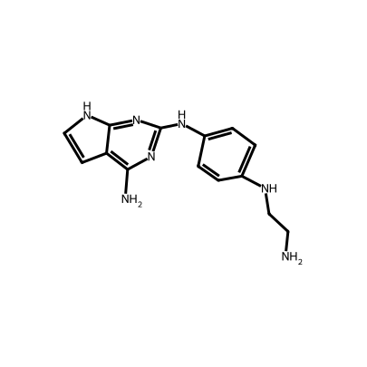 NCCNc1ccc(Nc2nc(N)c3cc[nH]c3n2)cc1